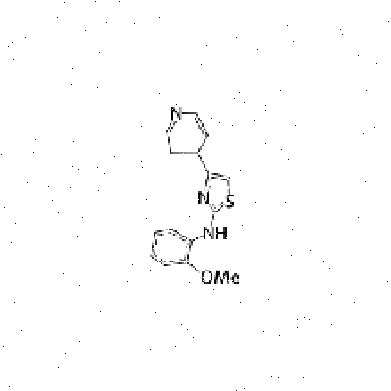 COc1ccccc1Nc1nc(C2C=CN=CC2)cs1